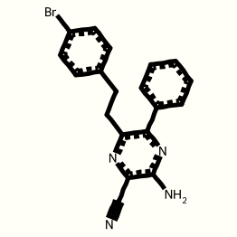 N#Cc1nc(CCc2ccc(Br)cc2)c(-c2ccccc2)nc1N